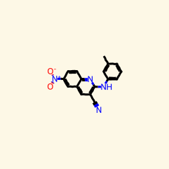 Cc1cccc(Nc2nc3ccc([N+](=O)[O-])cc3cc2C#N)c1